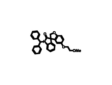 COCCOc1ccc2c(c1)C1(CO2)C(=O)N(C(c2ccccc2)c2ccccc2)c2ccccc21